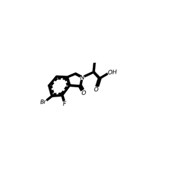 CC(C(=O)O)N1Cc2ccc(Br)c(F)c2C1=O